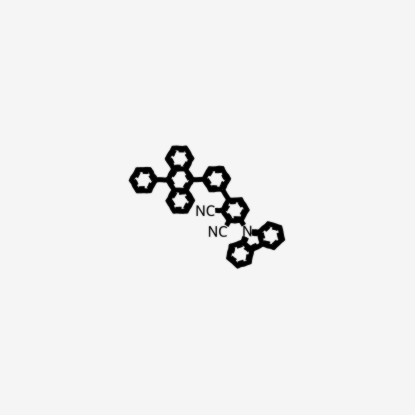 N#Cc1c(-c2cccc(-c3c4ccccc4c(-c4ccccc4)c4ccccc34)c2)ccc(-n2c3ccccc3c3ccccc32)c1C#N